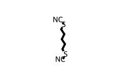 N#CSCCCCCSC#N